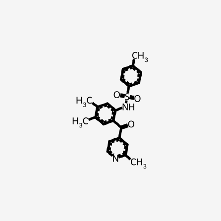 Cc1ccc(S(=O)(=O)Nc2cc(C)c(C)cc2C(=O)c2ccnc(C)c2)cc1